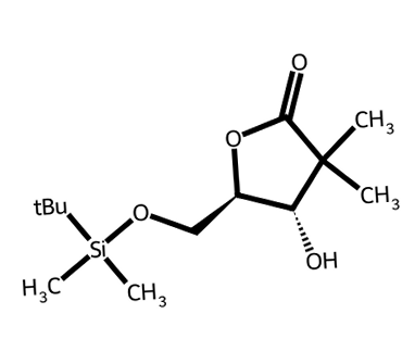 CC1(C)C(=O)O[C@H](CO[Si](C)(C)C(C)(C)C)[C@H]1O